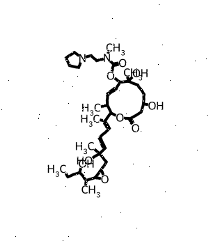 CCC(O)C(C)C1OC1CC(C)(O)/C=C/C=C(\C)C1OC(=O)CC(O)CCC(C)(O)C(OC(=O)N(C)CCN2CCCC2)/C=C/C1C